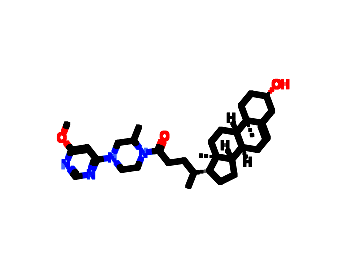 COc1cc(N2CCN(C(=O)CCC(C)[C@H]3CC[C@H]4[C@@H]5CC=C6C[C@@H](O)CC[C@]6(C)[C@H]5CC[C@]34C)C(C)C2)ncn1